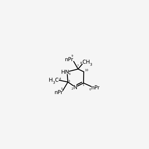 CCCC1=NC(C)(CCC)NC(C)(CCC)C1